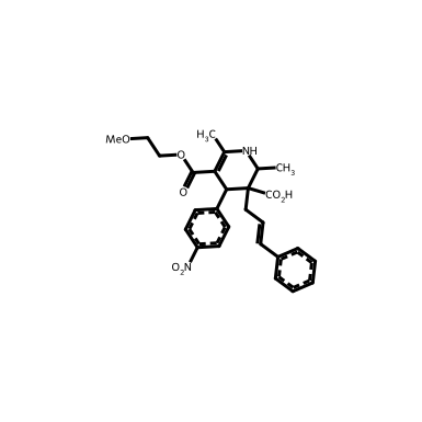 COCCOC(=O)C1=C(C)NC(C)C(C/C=C/c2ccccc2)(C(=O)O)C1c1ccc([N+](=O)[O-])cc1